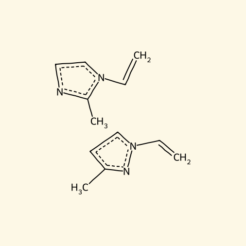 C=Cn1ccc(C)n1.C=Cn1ccnc1C